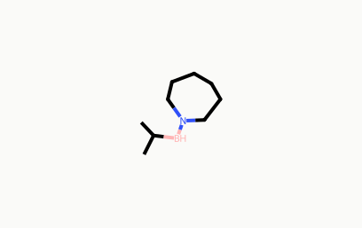 CC(C)BN1CCCCCC1